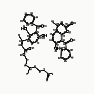 C=C(C)CCCC(C)CCOC(=O)/C=C(/C)c1ccc(O)c(C(=O)c2ccccc2)c1O.Cc1cc(=O)oc2c(C(=O)c3ccccc3)c(O)ccc12